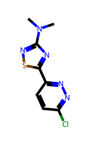 CN(C)c1nsc(-c2ccc(Cl)nn2)n1